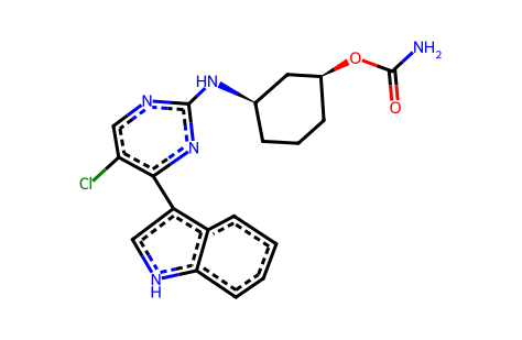 NC(=O)O[C@H]1CCC[C@@H](Nc2ncc(Cl)c(-c3c[nH]c4ccccc34)n2)C1